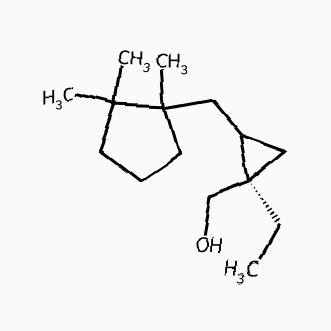 CC[C@@]1(CO)CC1CC1(C)CCCC1(C)C